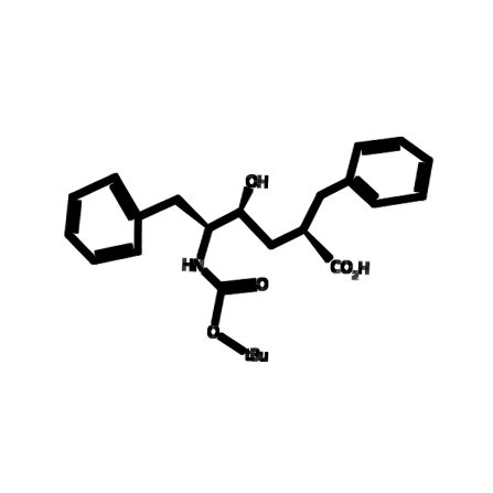 CC(C)(C)OC(=O)N[C@@H](Cc1ccccc1)[C@@H](O)C[C@@H](Cc1ccccc1)C(=O)O